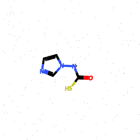 O=C(S)[N]n1ccnc1